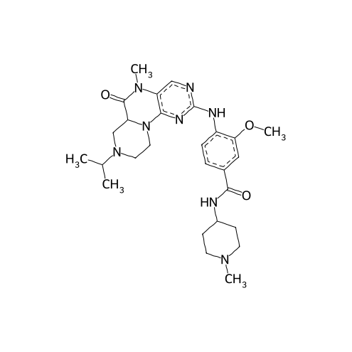 COc1cc(C(=O)NC2CCN(C)CC2)ccc1Nc1ncc2c(n1)N1CCN(C(C)C)CC1C(=O)N2C